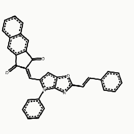 O=C1C(=Cc2cc3oc(/C=C/c4ccccc4)nc3n2-c2ccccc2)C(=O)c2cc3ccccc3cc21